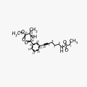 CCS(=O)(=O)NCCCC#Cc1cccc(C(=O)NC(C)C(=O)OC)c1